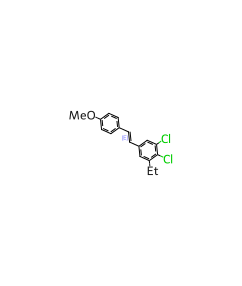 CCc1cc(/C=C/c2ccc(OC)cc2)cc(Cl)c1Cl